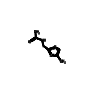 Cc1csc(SNC(N)=O)n1